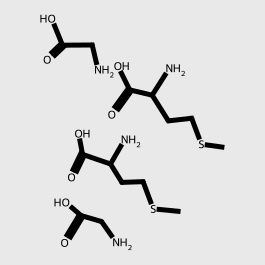 CSCCC(N)C(=O)O.CSCCC(N)C(=O)O.NCC(=O)O.NCC(=O)O